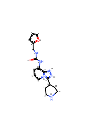 O=C(NCc1ccco1)Nc1cccn2c(C3CCNCC3)nnc12